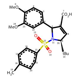 COc1ccc(C2C(C(=O)O)=C[C@@H](C(C)(C)C)N2S(=O)(=O)c2ccc(C)cc2)cc1OC